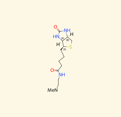 CNCCNC(=O)CCCC[C@@H]1SC[C@@H]2NC(=O)N[C@@H]21